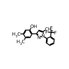 Cc1cc(O)c(-c2cc(C)n(-c3ccccc3C(F)(F)F)n2)cc1C